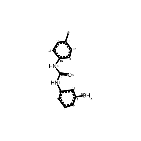 Bc1cccc(NC(=O)Nc2ccc(C)cc2)c1